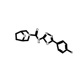 O=C(Nc1nnc(-c2ccc(F)cc2)o1)N1CC2CCC(C1)O2